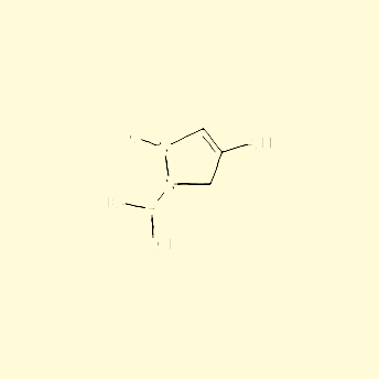 CC1=CN(C)N(B(O)O)C1